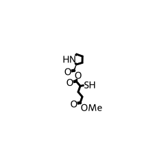 COC(=O)CCC(S)C(=O)OC(=O)[C@@H]1CCCN1